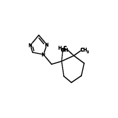 CC1(C)CCCCC1(O)Cn1cncn1